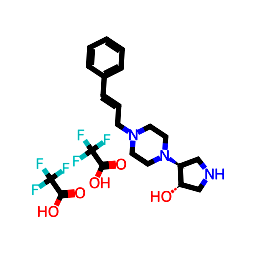 O=C(O)C(F)(F)F.O=C(O)C(F)(F)F.O[C@H]1CNC[C@@H]1N1CCN(C/C=C/c2ccccc2)CC1